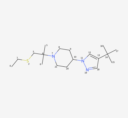 CCSCC(C)(C)N1CCC(n2cc(C(C)(C)C)cn2)CC1